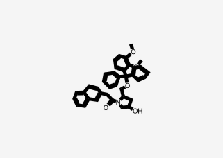 COc1cccc(C(OCC2CC(O)CN2C(=O)Cc2ccc3ccccc3c2)(c2ccccc2)c2ccccc2)c1OC